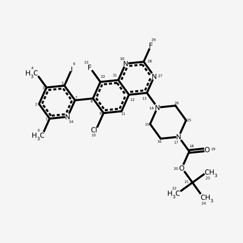 Cc1cc(C)c(I)c(-c2c(Cl)cc3c(N4CCN(C(=O)OC(C)(C)C)CC4)nc(F)nc3c2F)n1